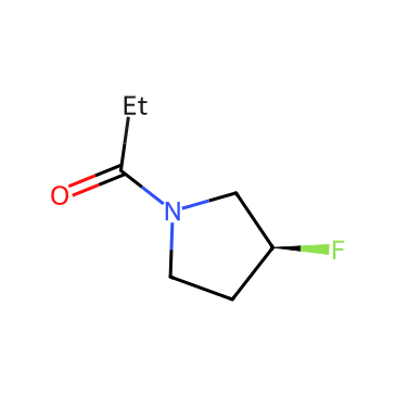 CCC(=O)N1CC[C@H](F)C1